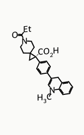 CCC(=O)N1CCC2(CC1)C[C@]2(C(=O)O)c1ccc(C2=CN(C)c3ccccc3C2)cc1